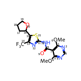 COc1ncnc(OC)c1C(=O)Nc1nc(C(F)(F)F)c(C2CCCO2)s1